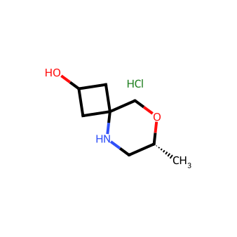 C[C@@H]1CNC2(CO1)CC(O)C2.Cl